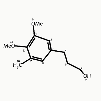 COc1cc(CCCO)cc(C)c1OC